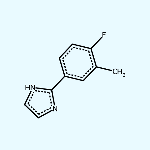 Cc1cc(-c2ncc[nH]2)ccc1F